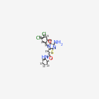 Nc1nc2sc(C(=O)Nc3ccccc3)cc2n(Cc2ccc(Cl)c(Cl)c2)c1=O